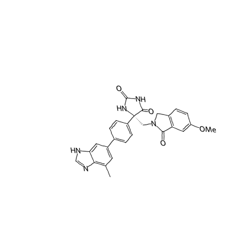 COc1ccc2c(c1)C(=O)N(C[C@]1(c3ccc(-c4cc(C)c5nc[nH]c5c4)cc3)NC(=O)NC1=O)C2